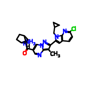 Cc1c(-c2cc3ccc(Cl)nc3n2CC2CC2)nn2cc(C(=O)N3CC4CCC3[C@@H]4N)cnc12